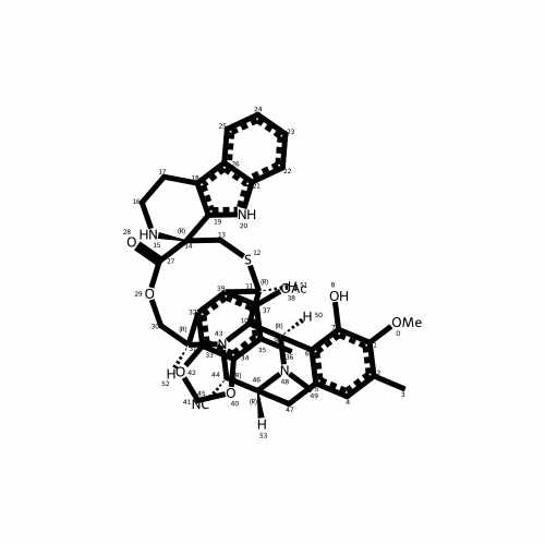 COc1c(C)cc2c(c1O)[C@@H]1C3[C@@H]4SC[C@]5(NCCc6c5[nH]c5ccccc65)C(=O)OC[C@@H](c5c6c(c(C)c(OC(C)=O)c54)OCO6)N3[C@@H](C#N)[C@@H](C2)N1C